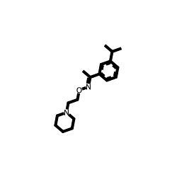 C/C(=N\OCCN1CCCCC1)c1cccc(C(C)C)c1